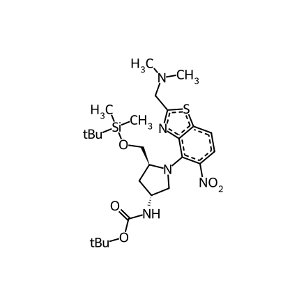 CN(C)Cc1nc2c(N3C[C@H](NC(=O)OC(C)(C)C)C[C@H]3CO[Si](C)(C)C(C)(C)C)c([N+](=O)[O-])ccc2s1